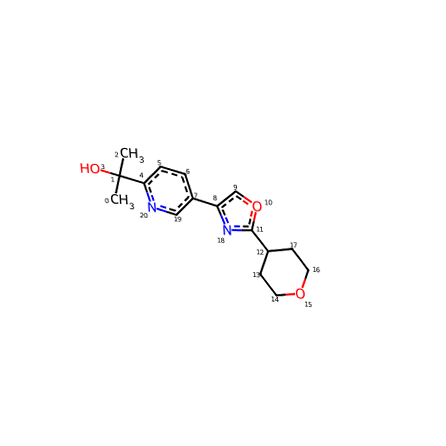 CC(C)(O)c1ccc(-c2coc(C3CCOCC3)n2)cn1